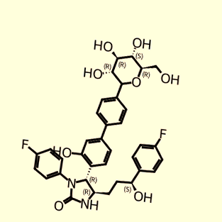 O=C1N[C@H](CC[C@H](O)c2ccc(F)cc2)[C@@H](c2ccc(-c3ccc(C4O[C@H](CO)[C@@H](O)[C@H](O)[C@H]4O)cc3)cc2O)N1c1ccc(F)cc1